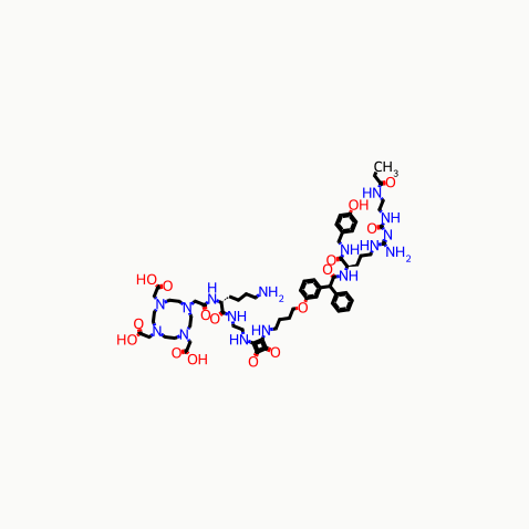 CCC(=O)NCCNC(=O)/N=C(/N)NCCC[C@@H](NC(=O)C(c1ccccc1)c1cccc(OCCCCNc2c(NCCNC(=O)[C@@H](CCCCN)NC(=O)CN3CCN(CC(=O)O)CCN(CC(=O)O)CCN(CC(=O)O)CC3)c(=O)c2=O)c1)C(=O)NCc1ccc(O)cc1